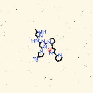 Cc1cc(Nc2cc(N3CC[C@@H](N(C)C)C3)nc(N3CCC[C@H]3c3cc(-c4ccccn4)no3)n2)n[nH]1